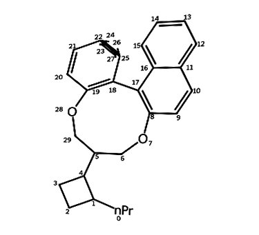 CCCC1CCC1C1COc2ccc3ccccc3c2-c2c(ccc3ccccc23)OC1